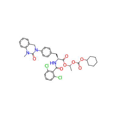 CC(OC(=O)OC1CCCCC1)OC(=O)[C@H](Cc1ccc(N2Cc3ccccc3N(C)C2=O)cc1)NC(=O)c1c(Cl)cccc1Cl